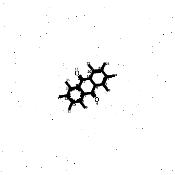 CC1=C(C)C2C(=O)c3c(C)c(C)c(C)c(C)c3C(=O)C2C(C)=C1C